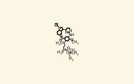 COc1cc(N(C)CCN(C)C(=O)OC(C)(C)C)c([N+](=O)[O-])cc1Nc1nccc(-c2cn(C34CC(C3)C4)c3ccccc23)n1